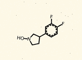 ON1CCC(c2ccc(F)c(F)c2)C1